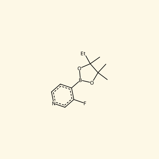 CCC1(C)OB(c2ccncc2F)OC1(C)C